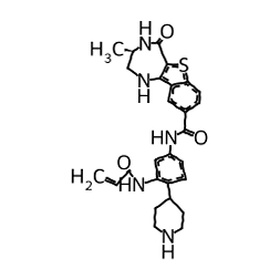 C=CC(=O)Nc1cc(NC(=O)c2ccc3sc4c(c3c2)NC[C@@H](C)NC4=O)ccc1C1CCNCC1